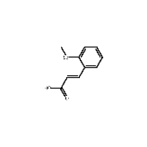 C[Se]c1ccccc1C=CC(=O)O